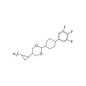 CC1CC1C1COC(C2CCC(c3cc(F)c(F)c(F)c3)CC2)OC1